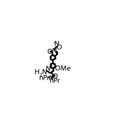 CCCN(CCC)C(=O)C1=Cc2c(cc(-c3ccc4c(=O)n(CC(=O)N(C)C)ccc4c3)cc2OC)N=C(N)C1